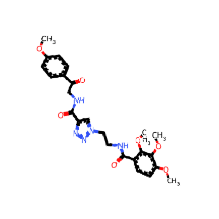 COc1ccc(C(=O)CNC(=O)c2cn(CCNC(=O)c3ccc(OC)c(OC)c3OC)nn2)cc1